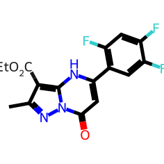 CCOC(=O)c1c(C)nn2c(=O)cc(-c3cc(F)c(F)cc3F)[nH]c12